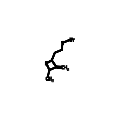 C=C1C(C)SC1CCSC(C)C